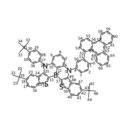 Cc1ccc(N2c3cccc4c3B(c3sc5ccc(C(C)(C)C)cc5c3N4c3ccc(C(C)(C)C)cc3)c3sc4ccc(C(C)(C)C)cc4c32)cc1-c1cccc2c3ccccc3c3ccccc3c12